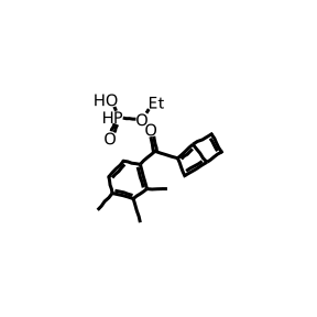 CCO[PH](=O)O.Cc1ccc(C(=O)c2cc3ccc2-3)c(C)c1C